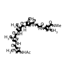 CNC(=O)c1cc(NC(=O)CCNC(=O)c2cc(NC(=O)c3cc(NC(=O)c4nc(NC(=O)c5nc(NC(C)=O)cn5C)cn4C)cn3C)cn2C)cn1C